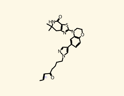 C/C=C/C(=O)CCCCn1cc(-c2ccc3c(c2)N(c2nc4c(s2)C(=O)NC(C)(C)C4)CCO3)cn1